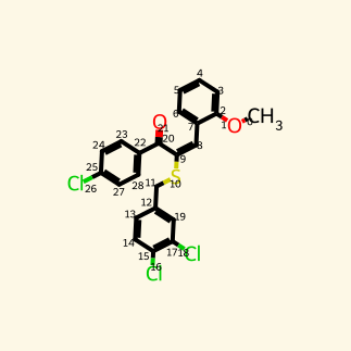 COc1ccccc1/C=C(/SCc1ccc(Cl)c(Cl)c1)C(=O)c1ccc(Cl)cc1